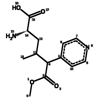 COC(=O)C(c1ccncc1)C(C)C[C@H](N)C(=O)O